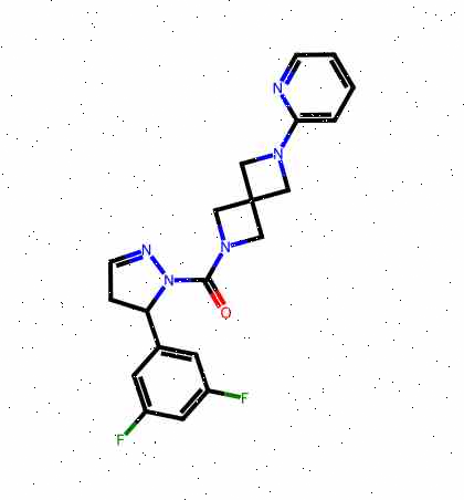 O=C(N1CC2(C1)CN(c1ccccn1)C2)N1N=CCC1c1cc(F)cc(F)c1